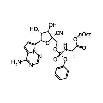 CCCCCCCCOC(=O)[C@H](C)NP(=O)(OC[C@@]1(C#N)O[C@@H](c2ccc3c(N)ncnn23)[C@H](O)[C@@H]1O)Oc1ccccc1